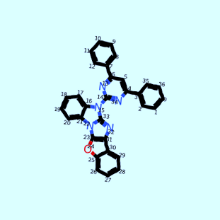 c1ccc(-c2cc(-c3ccccc3)nc(-n3c4ccccc4n4c5oc6ccccc6c5nc34)n2)cc1